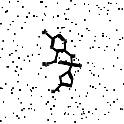 COc1nc(Br)cnc1NS(=O)(=O)c1ccc(Br)s1